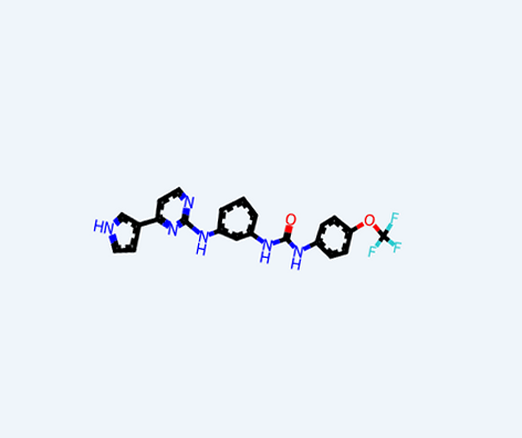 O=C(Nc1ccc(OC(F)(F)F)cc1)Nc1cccc(Nc2nccc(-c3cc[nH]c3)n2)c1